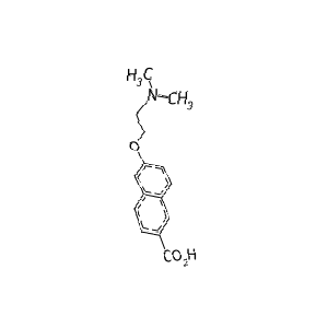 CN(C)CCOc1ccc2cc(C(=O)O)ccc2c1